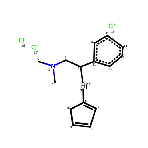 CN(C)C[CH]([Hf+3][C]1=CC=CC1)c1ccccc1.[Cl-].[Cl-].[Cl-]